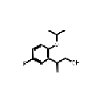 [CH2]C(CO)c1cc(F)ccc1OC(C)C